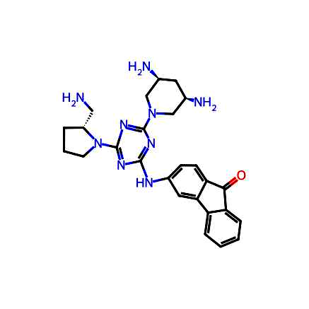 NC[C@H]1CCCN1c1nc(Nc2ccc3c(c2)-c2ccccc2C3=O)nc(N2C[C@H](N)C[C@H](N)C2)n1